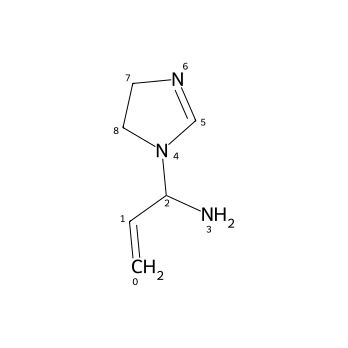 C=CC(N)N1C=NCC1